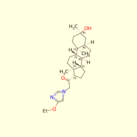 CCOc1cn(CC(=O)[C@H]2CC[C@H]3[C@@H]4CC[C@@H]5C[C@](C)(O)CC[C@]5(C)[C@H]4CC[C@]23C)cn1